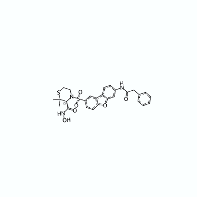 CC1(C)SCCN(S(=O)(=O)c2ccc3oc4cc(NC(=O)Cc5ccccc5)ccc4c3c2)[C@H]1C(=O)NO